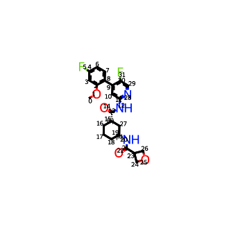 COc1cc(F)ccc1-c1cc(NC(=O)[C@H]2CCC[C@@H](NC(=O)C3COC3)C2)ncc1F